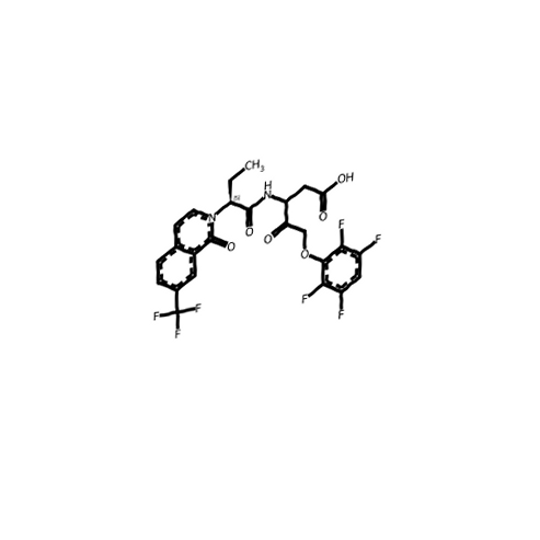 CC[C@@H](C(=O)NC(CC(=O)O)C(=O)COc1c(F)c(F)cc(F)c1F)n1ccc2ccc(C(F)(F)F)cc2c1=O